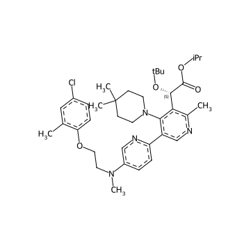 Cc1cc(Cl)ccc1OCCN(C)c1ccc(-c2cnc(C)c([C@H](OC(C)(C)C)C(=O)OC(C)C)c2N2CCC(C)(C)CC2)nc1